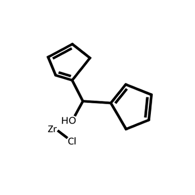 OC(C1=CC=CC1)C1=CC=CC1.[Cl][Zr]